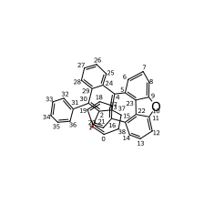 C1=Cc2c(c(-c3cccc4oc5cccc(-c6ccccc6)c5c34)c3ccccc3c2-c2ccccc2)CC1